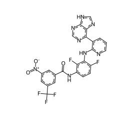 O=C(Nc1ccc(F)c(Nc2ncccc2-c2ncnc3[nH]cnc23)c1F)c1cc([N+](=O)[O-])cc(C(F)(F)F)c1